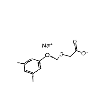 Cc1cc(C)cc(OCOCC(=O)[O-])c1.[Na+]